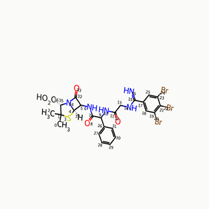 CC1(C)S[C@@H]2C(NC(=O)C(NC(=O)CNC(=N)c3cc(Br)c(Br)c(Br)c3)c3ccccc3)C(=O)N2[C@H]1C(=O)O